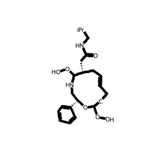 CC(C)CNC(=O)C[C@@H]1C/C=C/CCC(OO)O[C@H](c2ccccc2)CNC1OO